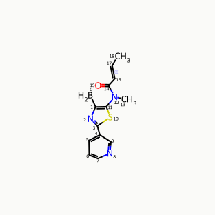 Bc1nc(-c2cccnc2)sc1N(C)C(=O)/C=C/C